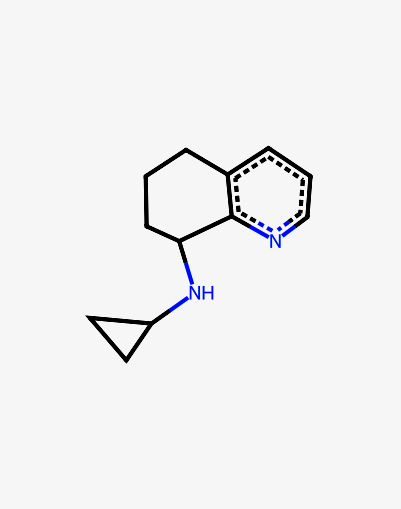 c1cnc2c(c1)CCCC2NC1CC1